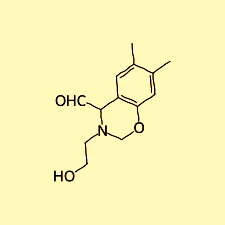 Cc1cc2c(cc1C)C(C=O)N(CCO)CO2